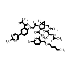 CC/C=C/COCc1ccc(Br)nc1NC(=O)[C@@H]1C[C@@]2(CN(C)C(=O)[C@@H](C)NC(C)=O)C[C@H]2N1C(=O)Cn1nc(C(C)=O)c2cc(-c3cnc(C)nc3)ccc21